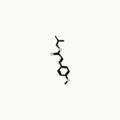 COc1ccc(/C=C/C(=O)OCC(C)C)cc1